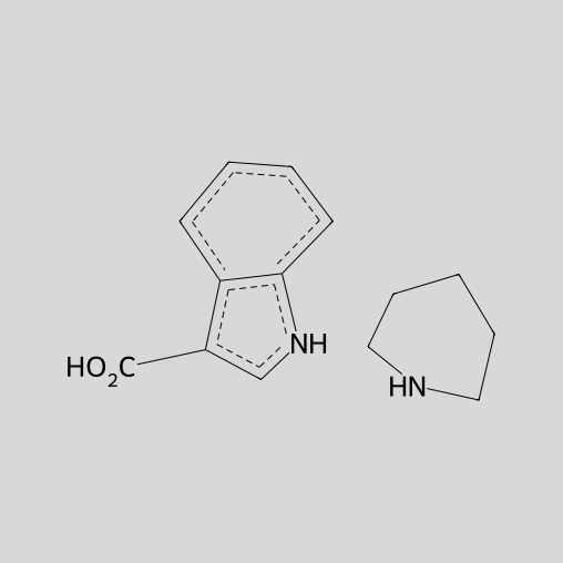 C1CCNCC1.O=C(O)c1c[nH]c2ccccc12